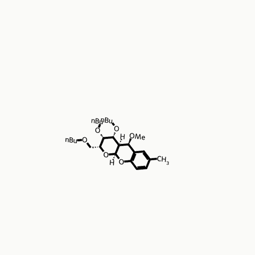 CCCCOC[C@H]1O[C@@H]2Oc3ccc(C)cc3[C@H](OC)[C@@H]2[C@@H](OCCCC)[C@H]1OCCCC